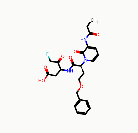 CCC(=O)Nc1cccn([C@@H](CCOCc2ccccc2)C(=O)NC(CC(=O)O)C(=O)CF)c1=O